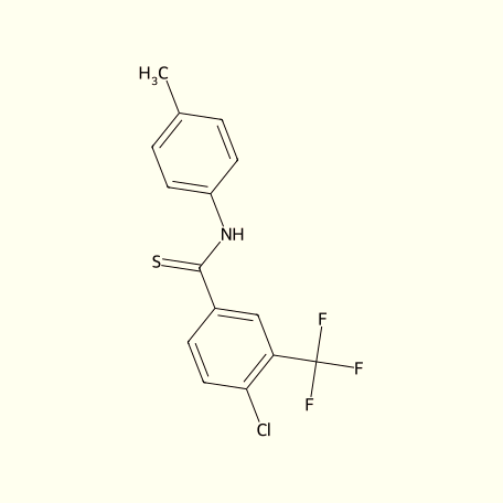 Cc1ccc(NC(=S)c2ccc(Cl)c(C(F)(F)F)c2)cc1